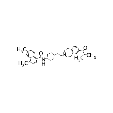 Cc1ccc2c(C(=O)NC3CCC(CCN4CCc5ccc(C(=O)C(C)C)cc5CC4)CC3)ccc(C)c2n1